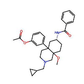 COC12CC[C@@H](NC(=O)c3ccccc3)CC1(c1cccc(OC(C)=O)c1)CCN(CC1CC1)C2